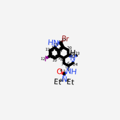 CCN(CC)C(=O)N[C@H]1CC2c3cc(I)cc4[nH]c(Br)c(c34)C[C@H]2N(C)C1